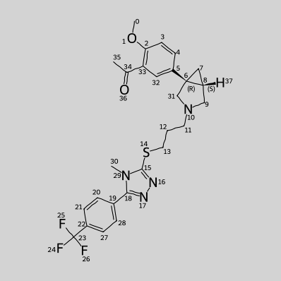 COc1ccc([C@@]23C[C@@H]2CN(CCCSc2nnc(-c4ccc(C(F)(F)F)cc4)n2C)C3)cc1C(C)=O